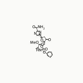 COC(=O)[C@H](C)NP(=O)(OC[C@H]1O[C@@H](n2cnc(C(N)=O)n2)CC1=O)Oc1ccccc1